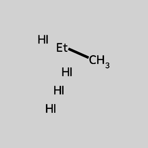 CCC.I.I.I.I